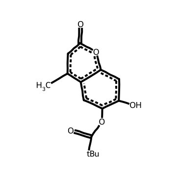 Cc1cc(=O)oc2cc(O)c(OC(=O)C(C)(C)C)cc12